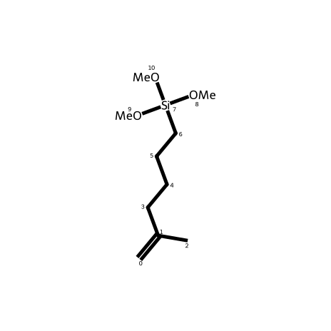 C=C(C)[CH]CCC[Si](OC)(OC)OC